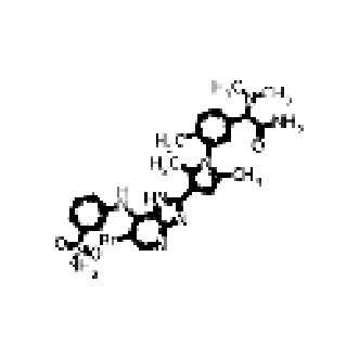 Cc1ccc(C(C(N)=O)N(C)C)cc1-n1c(C)cc(-c2nc3ncc(Br)c(Nc4cccc(S(N)(=O)=O)c4)c3[nH]2)c1C